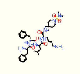 CC(C)CC(NC(=O)[C@@H](Cc1ccccc1)NC(=O)[C@H](N)Cc1ccccc1)C(=O)N[C@H](CCCCN)C(=O)N1CC2(CCN(S(=O)(=O)N(C)C)CC2)C1